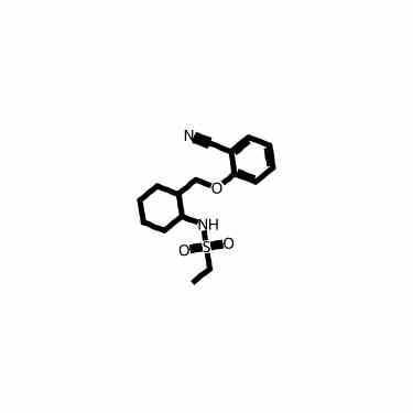 CCS(=O)(=O)NC1CCCCC1COc1ccccc1C#N